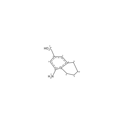 Nc1cc(C(=O)O)cc2c1CCCC2